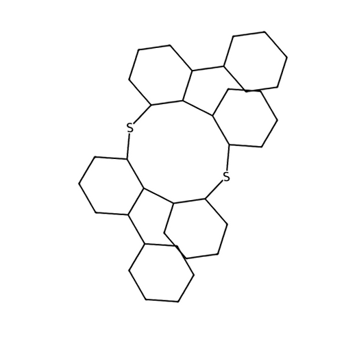 C1CCC(C2CCCC3SC4CCCC(C5CCCCC5)C4C4CCCCC4SC4CCCCC4C32)CC1